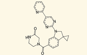 O=C1CN(C(=O)c2ccc3c(c2)N(c2ncc(-c4ccccn4)cn2)CC32CC2)CCN1